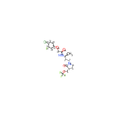 C=C(CCN1CC[C@@H](COC(F)(F)F)C1=O)NC(=O)COc1ccc(Cl)c(F)c1